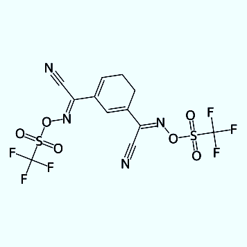 N#CC(=NOS(=O)(=O)C(F)(F)F)C1=CCCC(C(C#N)=NOS(=O)(=O)C(F)(F)F)=C1